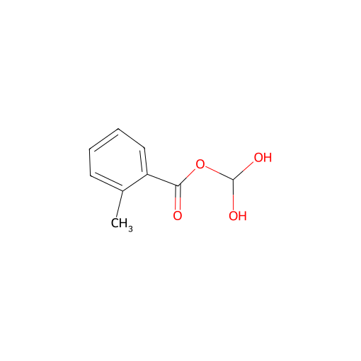 Cc1ccccc1C(=O)OC(O)O